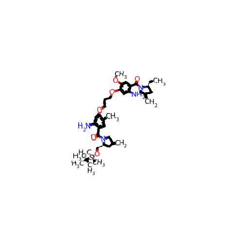 C=C1C[C@@H](CC)N(C(=O)c2cc(OC)c(OCCCOc3cc(N)c(C(=O)N4CC(=C)C[C@H]4CO[Si](C)(C)C(C)(C)C)cc3C)cc2N)C1